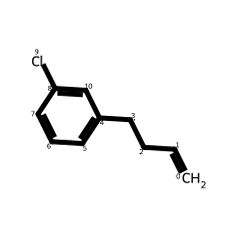 C=CC[CH]c1cccc(Cl)c1